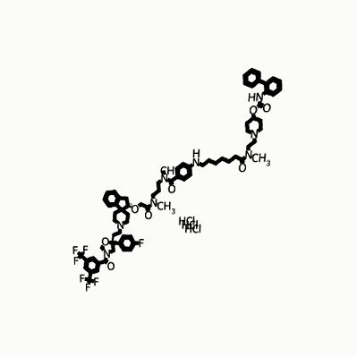 CN(CCN1CCC(OC(=O)Nc2ccccc2-c2ccccc2)CC1)C(=O)CCCCCCNc1ccc(C(=O)N(C)CCCN(C)C(=O)CO[C@H]2Cc3ccccc3C23CCN(CC[C@@]2(c4ccc(F)cc4)CN(C(=O)c4cc(C(F)(F)F)cc(C(F)(F)F)c4)CO2)CC3)cc1.Cl.Cl.Cl